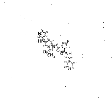 CC(=O)c1cn(CC(=O)N2C[C@H](F)C[C@H]2C(=O)NCCc2ccccc2)c2ccc(Nc3cccnc3)cc12